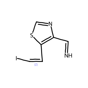 N=Cc1ncsc1/C=C\I